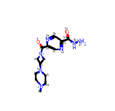 CN1CCN(C2CN(C(=O)c3cnc(C(=O)NN)cn3)C2)CC1